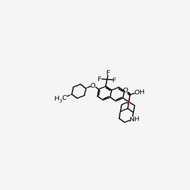 C[C@H]1CC[C@@H](Oc2ccc3cc(CC4C5CCNC4CC(C(=O)O)C5)ccc3c2C(F)(F)F)CC1